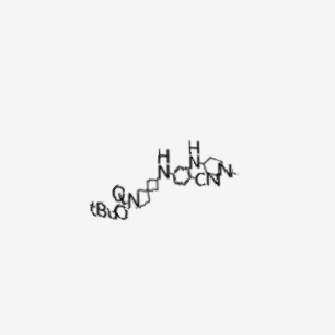 CN1CCC(Nc2cc(NC3CC4(CCN(C(=O)OC(C)(C)C)C4)C3)ccc2C#N)CC1